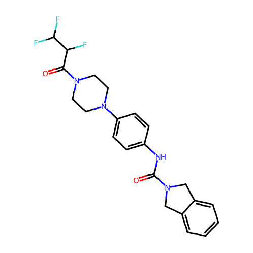 O=C(Nc1ccc(N2CCN(C(=O)C(F)C(F)F)CC2)cc1)N1Cc2ccccc2C1